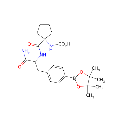 CC1(C)OB(c2ccc(CC(NC(=O)C3(NC(=O)O)CCCC3)C(N)=O)cc2)OC1(C)C